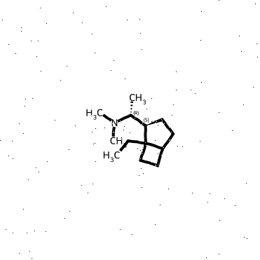 CCC12CCC1CC[C@@H]2[C@@H](C)N(C)C